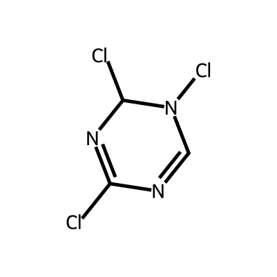 ClC1=NC(Cl)N(Cl)C=N1